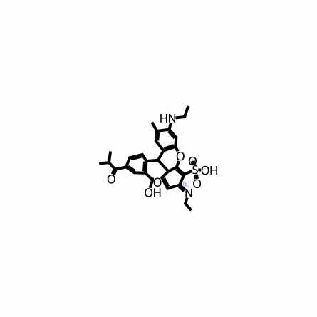 CC/N=C1\C=CC2C(=C1S(=O)(=O)O)Oc1cc(NCC)c(C)cc1C2c1ccc(C(=O)C(C)C)cc1C(=O)O